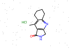 Cc1c2c(nc3c1C(=O)NC3)CCCC2.Cl